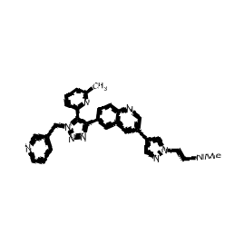 CNCCn1cc(-c2cnc3ccc(-c4nnn(Cc5cccnc5)c4-c4cccc(C)n4)cc3c2)cn1